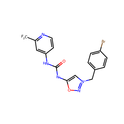 O=C([N-]c1c[n+](Cc2ccc(Br)cc2)no1)Nc1ccnc(C(F)(F)F)c1